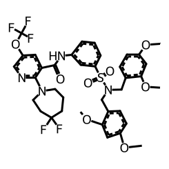 COc1ccc(CN(Cc2ccc(OC)cc2OC)S(=O)(=O)c2cccc(NC(=O)c3cc(OC(F)(F)F)cnc3N3CCCC(F)(F)CC3)c2)c(OC)c1